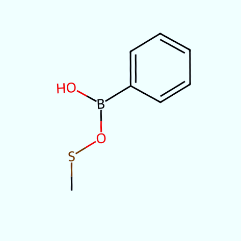 CSOB(O)c1ccccc1